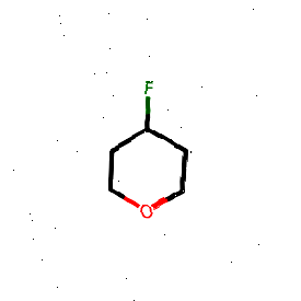 FC1[CH]COCC1